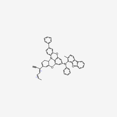 C#C/C(=C\C=C/C)C1=CCC2C(=C1)Oc1cc(N(c3ccccc3)c3c(C)ccc4c3oc3ccccc34)cc3c1N2c1ccc(-c2ccccc2)cc1O3